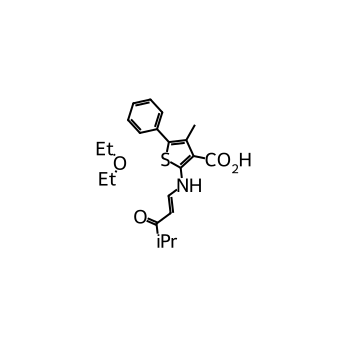 CCOCC.Cc1c(-c2ccccc2)sc(NC=CC(=O)C(C)C)c1C(=O)O